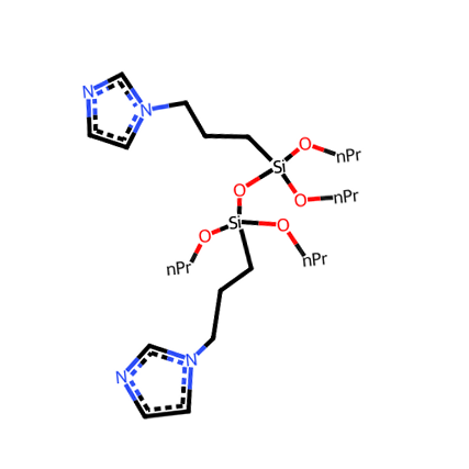 CCCO[Si](CCCn1ccnc1)(OCCC)O[Si](CCCn1ccnc1)(OCCC)OCCC